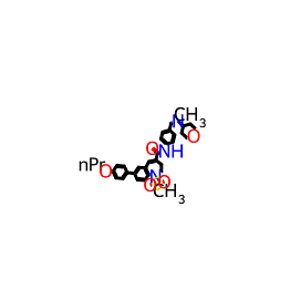 CCCOc1ccc(-c2ccc3c(c2)C=C(C(=O)Nc2ccc(CN(C)C4CCOCC4)cc2)CCN3S(C)(=O)=O)cc1